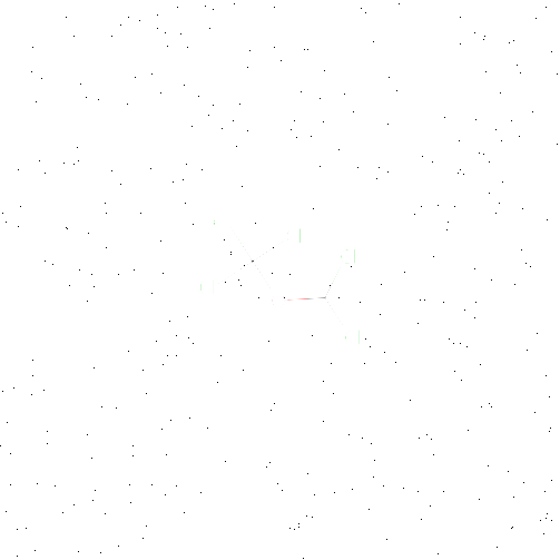 ClC(Cl)OC(Cl)(Cl)Cl